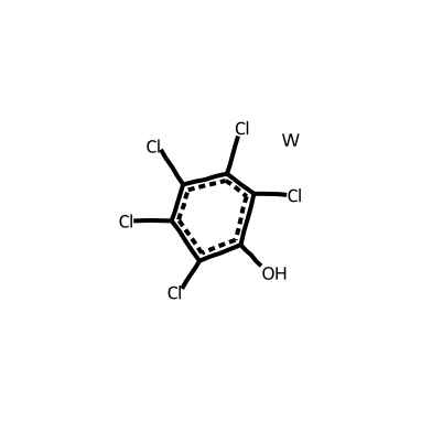 Oc1c(Cl)c(Cl)c(Cl)c(Cl)c1Cl.[W]